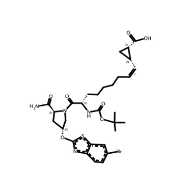 CC(C)(C)OC(=O)N[C@@H](CCCCC/C=C\[C@@H]1C[C@@H]1C(=O)O)C(=O)N1C[C@H](Oc2nc3ccc(Br)cc3s2)C[C@H]1C(N)=O